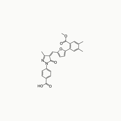 COC(=O)c1cc(C)c(C)cc1-c1ccc(/C=C2\C(=O)N(c3ccc(C(=O)O)cc3)N=C2C)o1